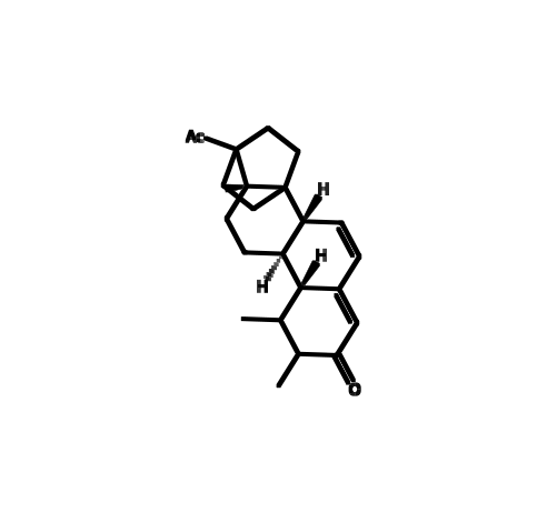 CC(=O)C12CCC3(CC1)[C@@H]1C=CC4=CC(=O)C(C)C(C)[C@@H]4[C@H]1CC[C@]23C